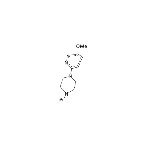 COc1ccc(N2CCN(C(C)C)CC2)nc1